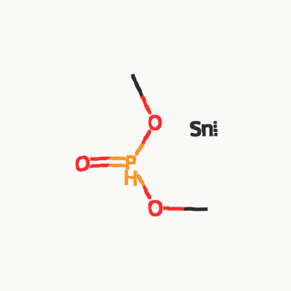 CO[PH](=O)OC.[Sn]